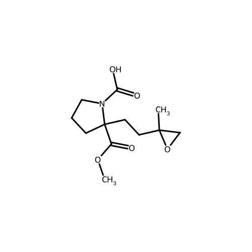 COC(=O)C1(CCC2(C)CO2)CCCN1C(=O)O